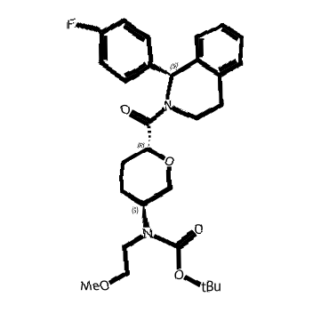 COCCN(C(=O)OC(C)(C)C)[C@H]1CC[C@H](C(=O)N2CCc3ccccc3[C@@H]2c2ccc(F)cc2)OC1